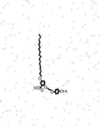 CCCCCCCCCCCCCCCCCCOc1ccc(OCCCOc2ccc(O)cc2)c(C(=O)O)c1